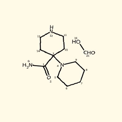 NC(=O)C1(N2CCCCC2)CCNCC1.O=CO